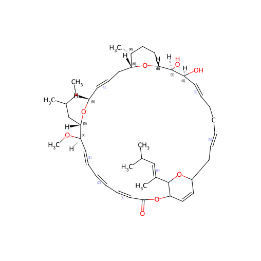 CO[C@@H]1/C=C/C=C\C=C/C(=O)OC2C=CC(C/C=C/CC/C=C/[C@H](O)[C@H](O)[C@H]3CC[C@@H](C)[C@@H](C/C=C/[C@@H]4O[C@H]1CC(C)C4C)O3)OC2/C(C)=C/C(C)C